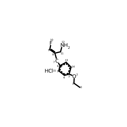 CCOc1ccc(C/C(=C/F)CN)cc1.Cl